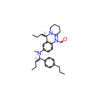 CC/C=C(\c1cc(N(C)/C(=C/CC)c2ccc(CCC)cc2)ccc1NC=O)N1CCCCC1